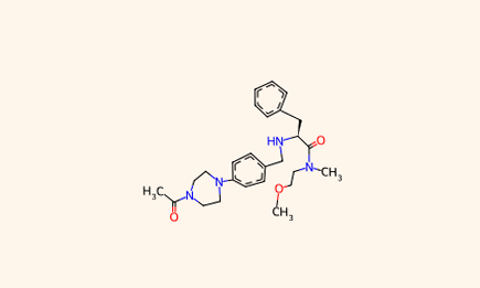 COCCN(C)C(=O)[C@H](Cc1ccccc1)NCc1ccc(N2CCN(C(C)=O)CC2)cc1